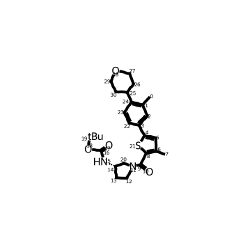 Cc1cc(-c2cc(C)c(C(=O)N3CC[C@H](NC(=O)OC(C)(C)C)C3)s2)ccc1C1CCOCC1